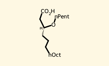 CCCCCCCCCCC[C@H](CC(=O)O)OCCCCC